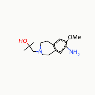 COc1cc2c(cc1N)CCN(CC(C)(C)O)CC2